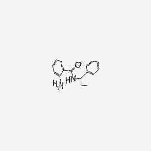 CC[C@H](NC(=O)c1ccccc1N)c1ccccc1